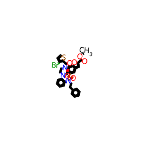 CCOC(=O)c1cc2cc(S(=O)(=O)N(CCc3ccccc3)c3ccccc3N3CCN(C(=O)c4sccc4Br)CC3)ccc2o1